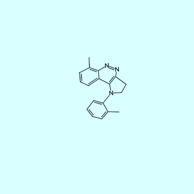 Cc1ccccc1N1CCc2nnc3c(C)cccc3c21